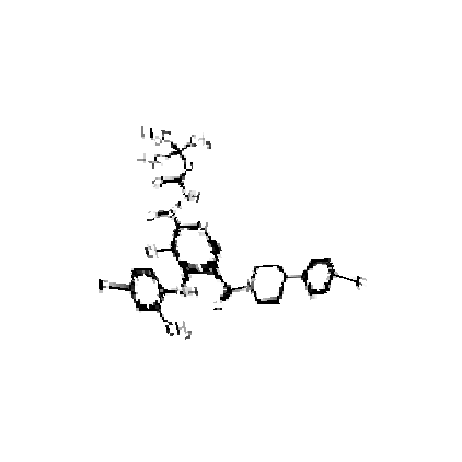 Cc1cc(F)ccc1Nc1c(C(=O)N2CCC(c3ccc(F)cc3)CC2)cnc([S+]([O-])NC(=O)OC(C)(C)C)c1Cl